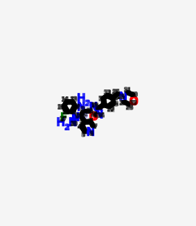 N/C(=C(/c1ccncc1)N(N)c1ccccc1F)c1nc(-c2ccc(CN3CCOCC3)cc2)no1